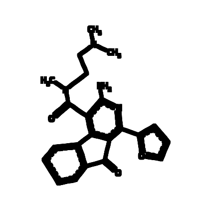 CN(C)CCN(C)C(=O)c1c(N)nc(-c2ccco2)c2c1-c1ccccc1C2=O